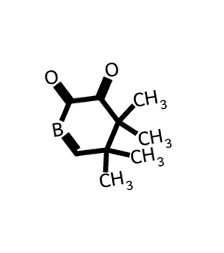 CC1(C)C=BC(=O)C(=O)C1(C)C